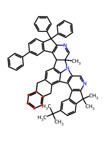 CC(C)(C)c1ccc2c(c1)-c1c(ncc3c1c1c4c(cc5c1n3C1(C)C=NC3=C(c6cc(-c7ccccc7)ccc6C3(c3ccccc3)c3ccccc3)C51)C1c3ccccc3C4c3ccccc31)C2(C)C